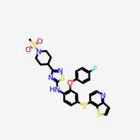 CS(=O)(=O)N1CCC(c2nsc(Nc3ccc(Sc4ccnc5ccsc45)cc3Oc3ccc(F)cc3)n2)CC1